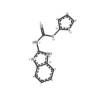 O=C(Nc1nc2ccccc2[nH]1)Sc1cccs1